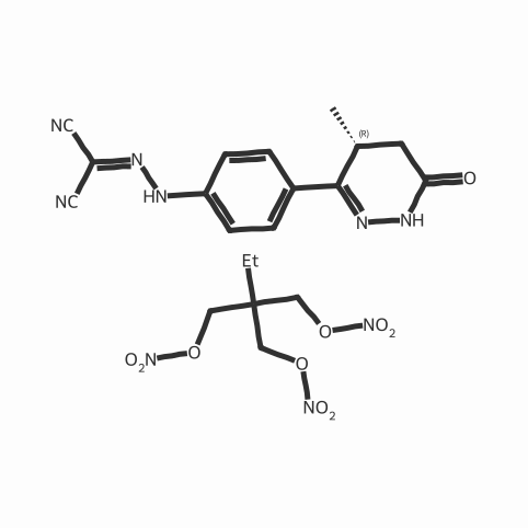 CCC(CO[N+](=O)[O-])(CO[N+](=O)[O-])CO[N+](=O)[O-].C[C@@H]1CC(=O)NN=C1c1ccc(NN=C(C#N)C#N)cc1